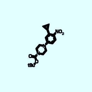 CC(C)(C)OC(=O)N1CCN(c2ccc([N+](=O)[O-])c(C3CC3)c2)CC1